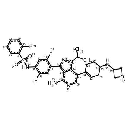 CC(C)n1nc(-c2cc(F)c(NS(=O)(=O)c3ccccc3F)cc2F)c2c(N)ncc(C3=CC[C@H](NC4COC4)CC3)c21